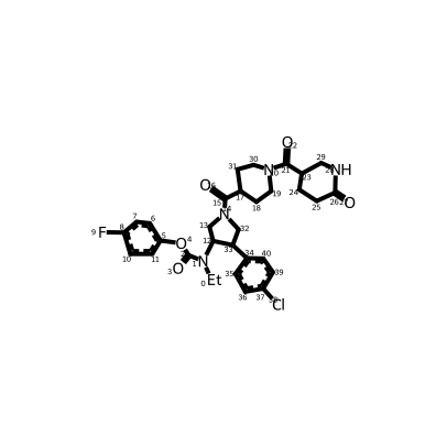 CCN(C(=O)Oc1ccc(F)cc1)C1CN(C(=O)C2CCN(C(=O)C3CCC(=O)NC3)CC2)CC1c1ccc(Cl)cc1